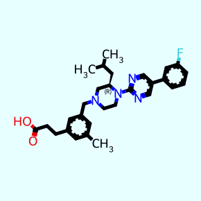 Cc1cc(CCC(=O)O)cc(CN2CCN(c3ncc(-c4cccc(F)c4)cn3)[C@H](CC(C)C)C2)c1